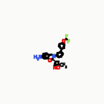 NC12CCC(CN(c3cccc(-c4ccc(OC(F)F)cc4)c3)C(=O)[C@H]3C[C@](O)(C(F)(F)F)C3)(CC1)CC2